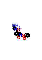 Cc1ccccc1C(=O)OCn1ccc2c([S+]([O-])N3CCC(N)C3)cccc2c1=O